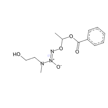 CC(O/N=[N+](\[O-])N(C)CCO)OC(=O)c1ccccc1